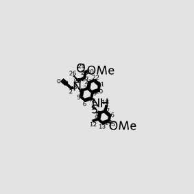 C#CCN(c1ccc(NSc2c(C)cc(OC)cc2C)c2ccccc12)[C@@H](C)CC(=O)OC